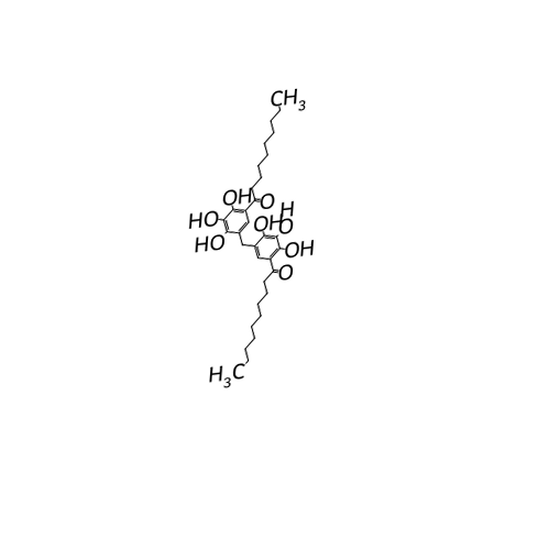 CCCCCCCCCC(=O)c1cc(Cc2cc(C(=O)CCCCCCCCC)c(O)c(O)c2O)c(O)c(O)c1O